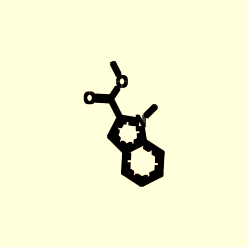 COC(=O)c1cc2ccccc2n1C